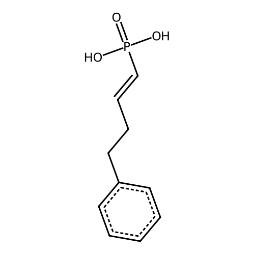 O=P(O)(O)C=CCCc1ccccc1